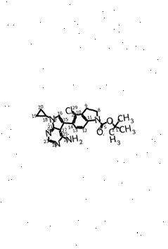 CC(C)(C)OC(=O)N1CCc2c1ccc(-c1cn(C3CC3)c3ncnc(N)c13)c2Cl